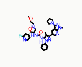 COCCN1C[C@@H](NC(=O)Nc2c(C)c(-c3cnc4c(c3)c(N3CCCC3)nn4C)nn2-c2ccccc2)[C@H](c2ccnc(F)c2)O1